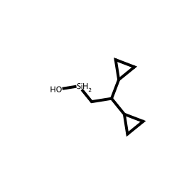 O[SiH2]CC(C1CC1)C1CC1